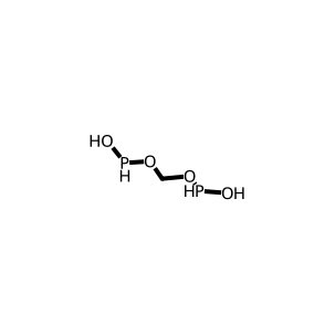 OPOCOPO